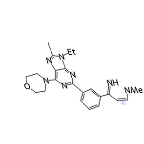 CCn1c(C)nc2c(N3CCOCC3)nc(-c3cccc(C(=N)/C=C\NC)c3)nc21